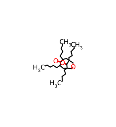 CCCCCC1CC2(CCCCC)COCC(CCCCC)(CC(CCCCC)C1=O)C2=O